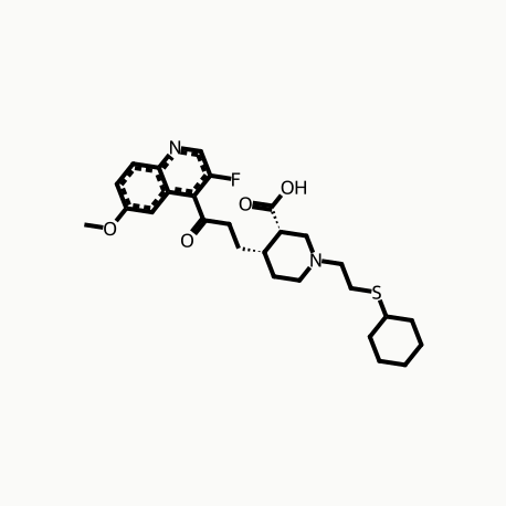 COc1ccc2ncc(F)c(C(=O)CC[C@H]3CCN(CCSC4CCCCC4)C[C@H]3C(=O)O)c2c1